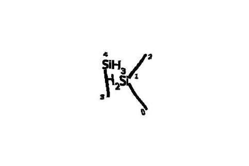 C[SiH2]C.C[SiH3]